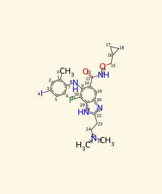 Cc1cc(I)ccc1Nc1c(C(=O)NOCC2CC2)cc2nc(CCN(C)C)[nH]c2c1F